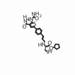 CC(C)C[C@@H](NCC=Cc1ccc(-c2cc(C(N)=O)c(NC(N)=O)s2)cc1)C(=O)OC1CCCC1